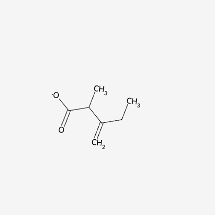 C=C(CC)C(C)C([O])=O